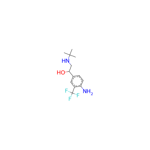 CC(C)(C)NCC(O)c1ccc(N)c(C(F)(F)F)c1